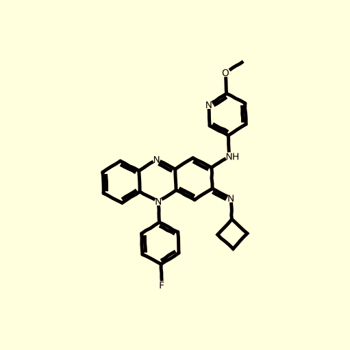 COc1ccc(Nc2cc3nc4ccccc4n(-c4ccc(F)cc4)c-3c/c2=N\C2CCC2)cn1